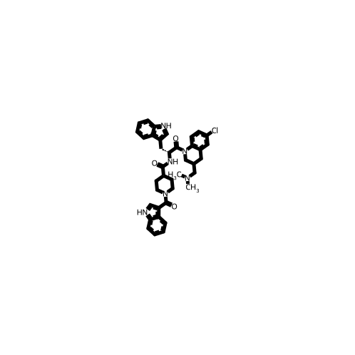 CN(C)CC1Cc2cc(Cl)ccc2N(C(=O)[C@@H](Cc2c[nH]c3ccccc23)NC(=O)C2CCN(C(=O)c3c[nH]c4ccccc34)CC2)C1